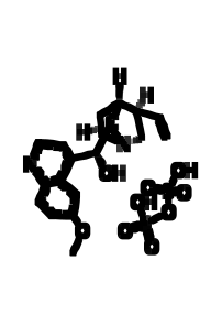 C=C[C@H]1C[N@]2CC[C@H]1C[C@@H]2[C@@H](O)c1ccnc2ccc(OC)cc12.O=S(=O)(O)OS(=O)(=O)O